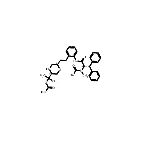 CN(C(=O)O)[C@H](C(=O)Nc1ccccc1CC[C@@H]1CN[C@H](C(C)(C)OC(N)=O)CO1)C(c1ccccc1)c1ccccc1